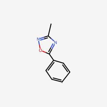 Cc1noc(-c2cc[c]cc2)n1